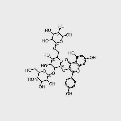 O=c1c(O[C@@H]2OC(CO[C@@H]3OC(O)[C@H](O)C(O)C3O)[C@H](O)C(O)C2O[C@@H]2OC(CO)[C@@H](O)C(O)C2O)c(-c2ccc(O)cc2)oc2cc(O)cc(O)c12